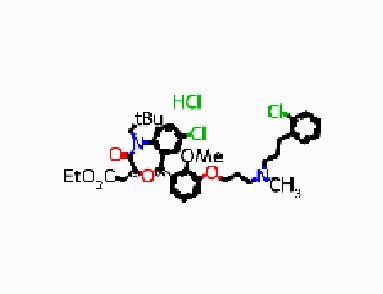 CCOC(=O)C[C@@H]1O[C@@H](c2cccc(OCCCN(C)CCCc3ccccc3Cl)c2OC)c2cc(Cl)ccc2N(CC(C)(C)C)C1=O.Cl